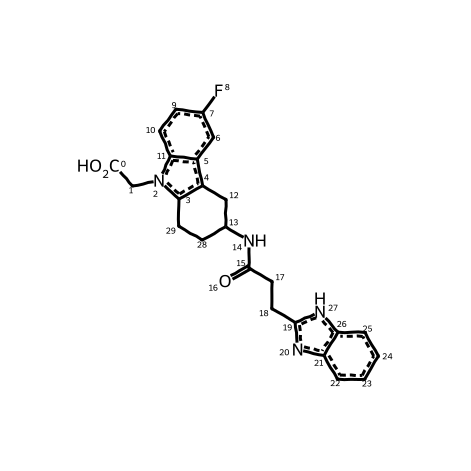 O=C(O)Cn1c2c(c3cc(F)ccc31)CC(NC(=O)CCc1nc3ccccc3[nH]1)CC2